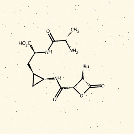 CC[C@H](C)[C@@H]1C(=O)O[C@H]1C(=O)N[C@H]1C[C@H]1C[C@H](NC(=O)[C@H](C)N)C(=O)O